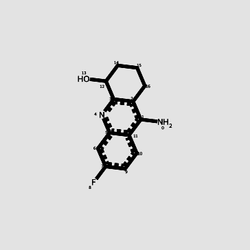 Nc1c2c(nc3cc(F)ccc13)C(O)CCC2